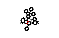 Cc1ccc2c(c1-c1cc3c(cc1N(c1ccc(-c4ccccc4)cc1)c1cccc4c1C(C)(C)CCC4(C)C)C(c1ccccc1)(c1ccccc1)c1ccccc1-3)C(C)(C)CCC2(C)C